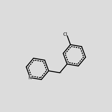 Clc1cccc([CH]c2cccnc2)c1